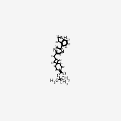 CC(C)(C)OC(=O)N1CCC2(CC1)CC(Cc1cnc(-c3cccc4c3CCN4)cn1)C2